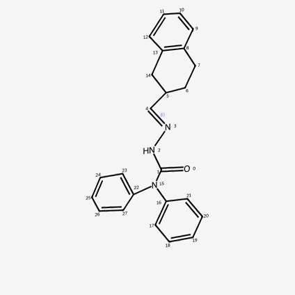 O=C(N/N=C/C1CCc2[c]cccc2C1)N(c1ccccc1)c1ccccc1